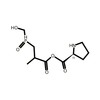 CC(C[PH](=O)CO)C(=O)OC(=O)[C@@H]1CCCN1